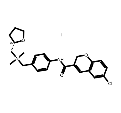 C[N+](C)(Cc1ccc(NC(=O)C2=Cc3cc(Cl)ccc3OC2)cc1)C[C@@H]1CCCO1.[I-]